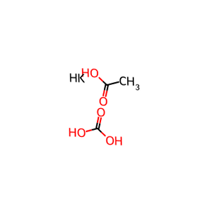 CC(=O)O.O=C(O)O.[KH]